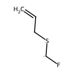 C=CCS[CH]F